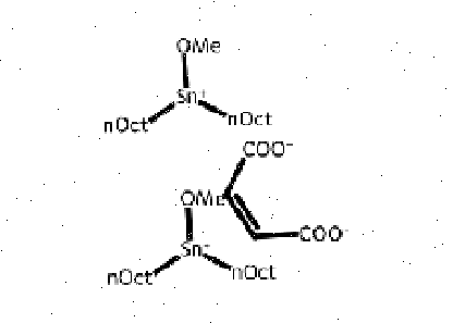 CCCCCCC[CH2][Sn+]([CH2]CCCCCCC)[O]C.CCCCCCC[CH2][Sn+]([CH2]CCCCCCC)[O]C.O=C([O-])/C=C\C(=O)[O-]